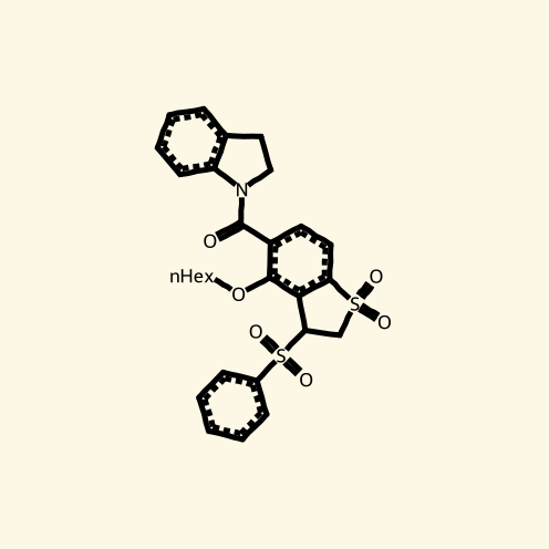 CCCCCCOc1c(C(=O)N2CCc3ccccc32)ccc2c1C(S(=O)(=O)c1ccccc1)CS2(=O)=O